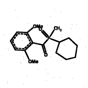 COc1cccc(OC)c1C(=O)P(C)(=O)C1CCCCC1